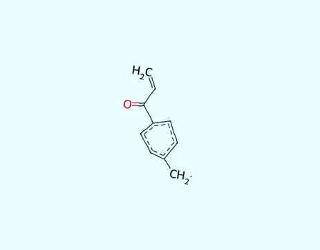 [CH2]c1ccc(C(=O)C=C)cc1